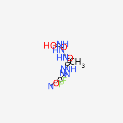 Cc1cc(Nc2nccn3c(-c4ccc(OCC#N)c(F)c4F)cnc23)ccc1C(=O)NCCCNC(=O)[C@@H]1C[C@@H](O)CN1